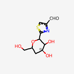 O=Cc1csc(C2OC(CO)C[C@H](O)C2O)n1